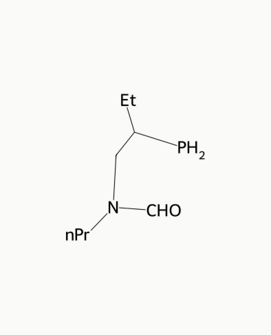 CCCN(C=O)CC(P)CC